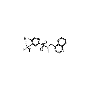 O=S(=O)(NCc1ccnc2ccccc12)c1ccc(Br)c(C(F)(F)F)c1